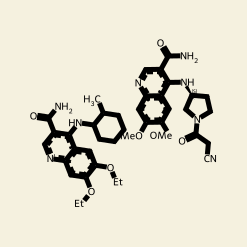 CCOc1cc2ncc(C(N)=O)c(NC3CCCCC3C)c2cc1OCC.COc1cc2ncc(C(N)=O)c(N[C@H]3CCN(C(=O)CC#N)C3)c2cc1OC